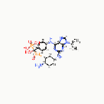 CC(C)n1cnc2c(Nc3ccc(C(O)([PH2]=O)P(=O)(O)O)cc3)nc(N[C@H]3CC[C@H](N)CC3)nc21